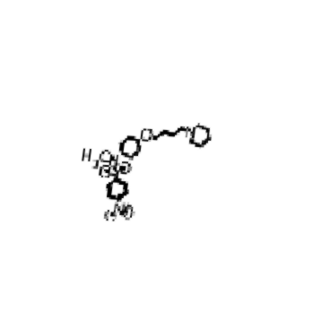 CN([C@H]1CC[C@H](OCCCCN2CCCCC2)CC1)S(=O)(=O)c1ccc([N+](=O)[O-])cc1